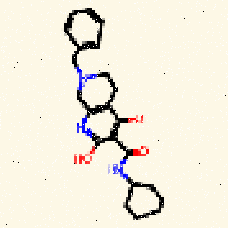 O=C(NC1CCCCC1)c1c(O)nc2c(c1O)CCN(Cc1ccccc1)C2